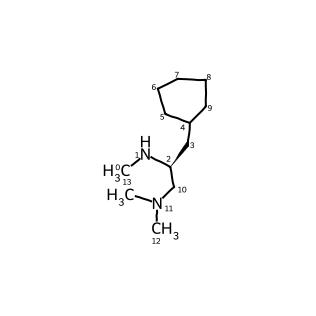 CN[C@@H](CC1CCCCC1)CN(C)C